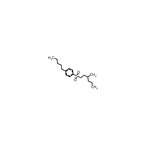 [CH2]C(CCC)CCS(=O)(=O)c1ccc(CCCCC)cc1